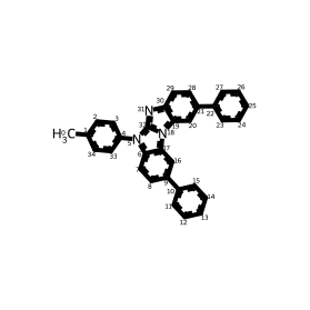 Cc1ccc(-n2c3ccc(-c4ccccc4)cc3n3c4cc(-c5ccccc5)ccc4nc23)cc1